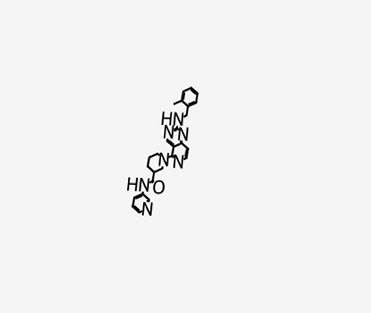 Cc1ccccc1CNc1ncc2c(N3CCCC(C(=O)Nc4cccnc4)C3)nccc2n1